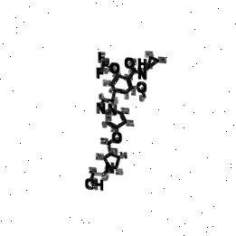 COc1cc(-c2cnc3cc(OC[C@H]4CCN(CCO)C4)ccn23)cc(OC(F)F)c1C(=O)NC1CC1